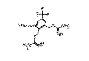 Br.Br.N=C(N)SCc1ccc(C(F)(F)F)cc1CSC(=N)N